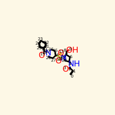 C=CC(=O)NC1CC(CO)N(S(=O)(=O)C2CCN(C(=O)c3ccccc3)CC2)C1